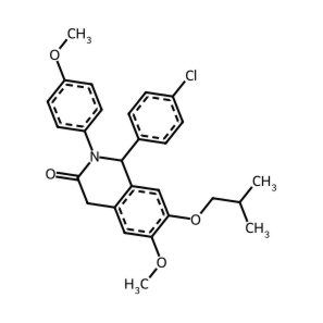 COc1ccc(N2C(=O)Cc3cc(OC)c(OCC(C)C)cc3C2c2ccc(Cl)cc2)cc1